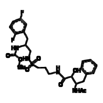 CC(=O)NC(Cc1ccccc1)C(O)C(=O)NCCCS(=O)(=O)NCC(Cc1cc(F)ccc1F)NC(=O)OC(C)(C)C